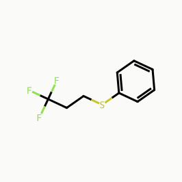 FC(F)(F)CCSc1ccccc1